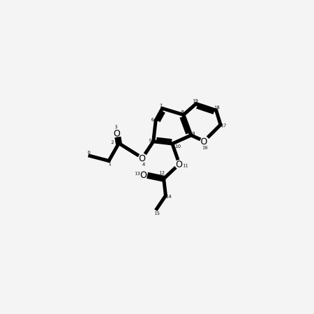 CCC(=O)Oc1ccc2c(c1OC(=O)CC)OCC=C2